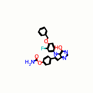 NC(=O)Oc1ccc(-c2cc3ncnc(O)c3n2-c2ccc(OCc3ccccc3)c(F)c2)cc1